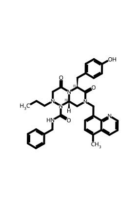 CCCN1CC(=O)N2[C@@H](Cc3ccc(O)cc3)C(=O)N(Cc3ccc(C)c4cccnc34)C[C@@H]2N1C(=O)NCc1ccccc1